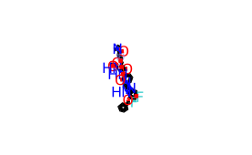 COC(=O)N[C@@H](CC/C=C/C(=O)N(C)C)C(=O)Nc1cccn(Cc2nc3cc(F)c(F)c(OCc4ccccc4)c3[nH]2)c1=O